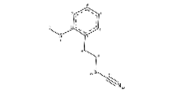 CSc1ccccc1CCSC#N